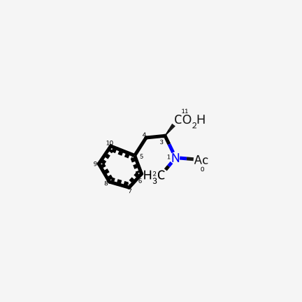 CC(=O)N(C)[C@@H](Cc1ccccc1)C(=O)O